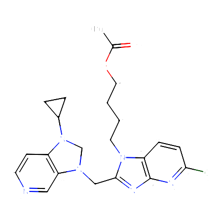 CC(C)(C)C(=O)OCCCCn1c(CN2CN(C3CC3)c3ccncc32)nc2nc(Cl)ccc21